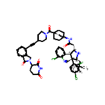 CC(C)(C)C[C@@H]1N[C@@H](CC(=O)NC23CCC(C(=O)N4CCC(C#Cc5cccc6c5CN(C5CCC(=O)NC5=O)C6=O)CC4)(CC2)CC3)[C@H](c2cccc(Cl)c2F)[C@@]1(C#N)c1ccc(Cl)cc1F